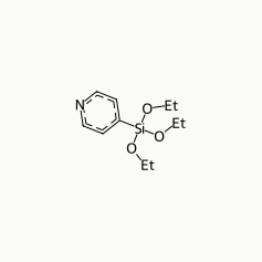 CCO[Si](OCC)(OCC)c1ccncc1